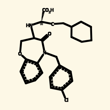 O=C(O)[C@H](CCC1CCCCC1)NC1COc2ccccc2N(Cc2ccc(Cl)cc2)C1=O